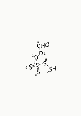 O=COOS(=S)(=S)SS